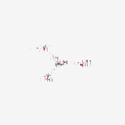 CC(=O)NC1C(OCCOCCOCCOCCNC(=O)CCC(CCC(=O)NCCOCCOCCOCCOC2OC(CO)C(O)C(O)C2NC(C)=O)(CCC(=O)NCCOCCOCCOCCOC2OC(CO)C(O)C(O)C2NC(C)=O)NC(C)(C)C)OC(CO)C(O)C1O